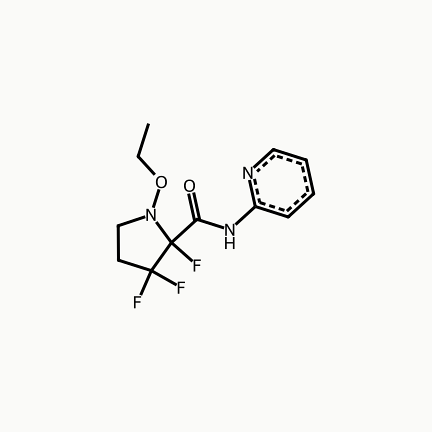 CCON1CCC(F)(F)C1(F)C(=O)Nc1ccccn1